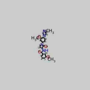 COc1cccc(C(=O)NC2CCN(c3ccc(-n4cnc(C)c4)c(OC)c3)C2=O)c1